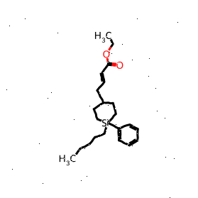 CCCCC[Si]1(c2ccccc2)CCC(CC=CC(=O)OCC)CC1